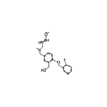 COBNCN(C)Cc1ccc(OCc2ccccc2F)c(CO)c1